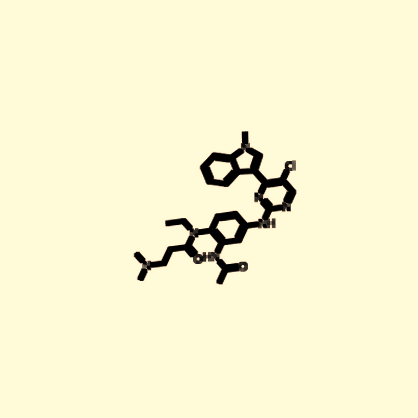 CCN(C(=O)CCN(C)C)c1ccc(Nc2ncc(Cl)c(-c3cn(C)c4ccccc34)n2)cc1NC(C)=O